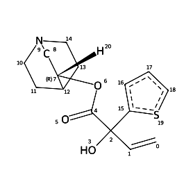 C=CC(O)(C(=O)O[C@H]1CN2CCC1CC2)c1cccs1